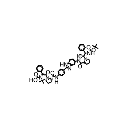 CC(C)(C)OC(=O)N[C@H](C(=O)N1CCC[C@H]1C(=O)Nc1ccc2[nH]c(-c3ccc(NC(=O)[C@@H]4CCCN4C(=O)[C@H](c4ccccc4)N(C(=O)O)C(C)(C)C)cc3)nc2c1)c1ccccc1